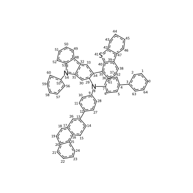 c1ccc(-c2ccc(N(c3ccc(-c4ccc5c(ccc6ccccc65)c4)cc3)c3cc4c(cc3-c3cccc5c3sc3ccccc35)c3ccccc3n4-c3ccccc3)cc2)cc1